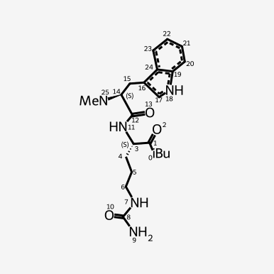 CCC(C)C(=O)[C@H](CCCNC(N)=O)NC(=O)[C@H](Cc1c[nH]c2ccccc12)NC